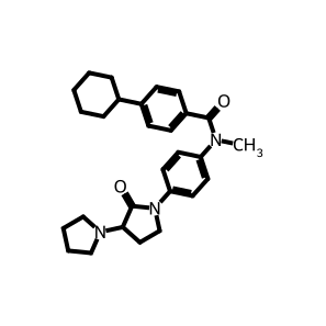 CN(C(=O)c1ccc(C2CCCCC2)cc1)c1ccc(N2CCC(N3CCCC3)C2=O)cc1